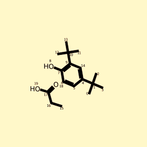 CC(C)(C)c1ccc(O)c(C(C)(C)C)c1.CCC(=O)O